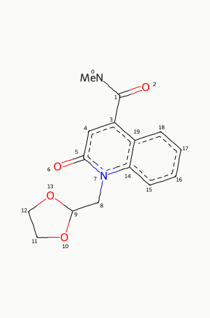 CNC(=O)c1cc(=O)n(CC2OCCO2)c2ccccc12